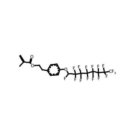 C=C(C)C(=O)OCCc1ccc(OC(F)C(F)(F)C(F)(F)C(F)(F)C(F)(F)C(F)(F)C(F)(F)C(F)(F)F)cc1